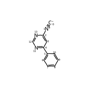 [C-]#[N+]c1cc(-c2ccccc2)ncn1